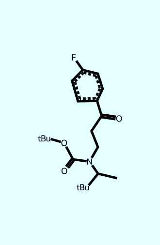 CC(N(CCC(=O)c1ccc(F)cc1)C(=O)OC(C)(C)C)C(C)(C)C